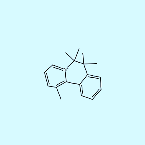 Cc1ccc[n+]2c1-c1ccccc1C(C)(C)C2(C)C